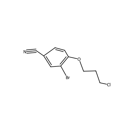 N#Cc1ccc(OCCCCl)c(Br)c1